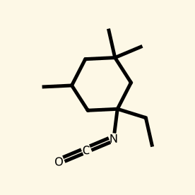 CCC1(N=C=O)CC(C)CC(C)(C)C1